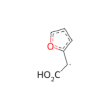 O=C(O)[CH]c1ccco1